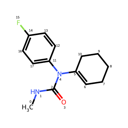 CNC(=O)N(C1=CCCCC1)c1ccc(F)cc1